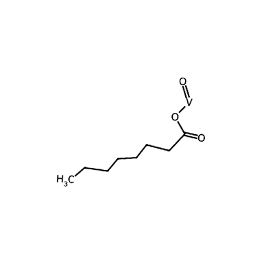 CCCCCCCC(=O)[O][V]=[O]